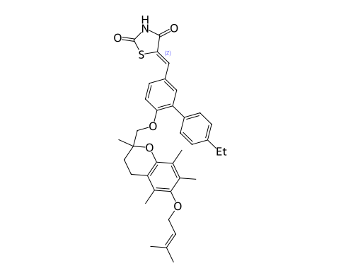 CCc1ccc(-c2cc(/C=C3\SC(=O)NC3=O)ccc2OCC2(C)CCc3c(C)c(OCC=C(C)C)c(C)c(C)c3O2)cc1